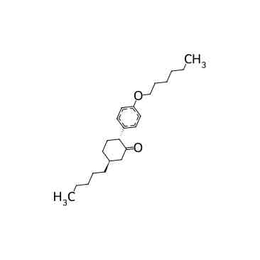 CCCCCCOc1ccc([C@H]2CC[C@H](CCCCC)CC2=O)cc1